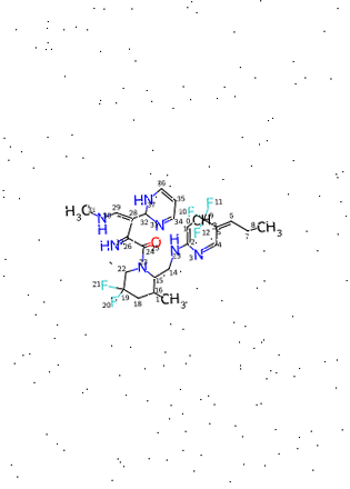 C\C=C(/N=C\C(=C/CC)C(F)(F)F)NCC1C(C)CC(F)(F)CN1C(=O)C(=N)/C(=C\NC)C1N=CC=CN1